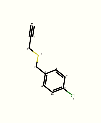 C#CCSCc1ccc(Cl)cc1